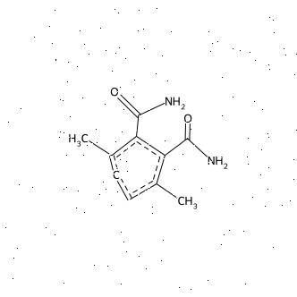 Cc1ccc(C)c(C(N)=O)c1C(N)=O